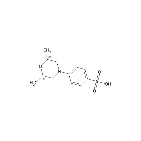 C[C@@H]1CN(c2ccc(S(=O)(=O)O)cc2)C[C@H](C)O1